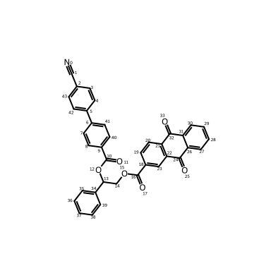 N#Cc1ccc(-c2ccc(C(=O)OC(COC(=O)c3ccc4c(c3)C(=O)c3ccccc3C4=O)c3ccccc3)cc2)cc1